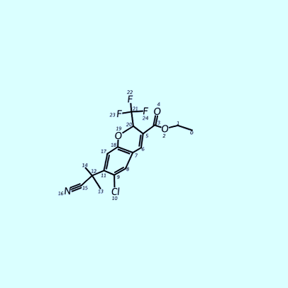 CCOC(=O)C1=Cc2cc(Cl)c(C(C)(C)C#N)cc2OC1C(F)(F)F